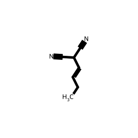 CC/C=C/C(C#N)C#N